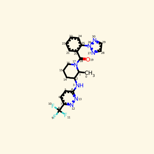 CC1C(Nc2ccc(C(F)(F)F)nn2)CCCN1C(=O)c1ccccc1-n1nccn1